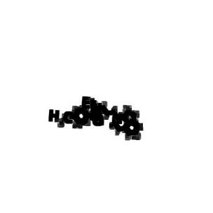 CCN(CCCN1CCc2cccc3c2C1CC3)[S+]([O-])c1ccc(C)cc1